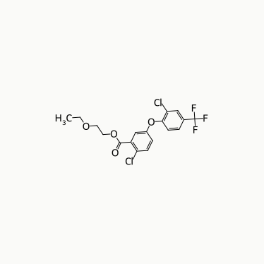 CCOCCOC(=O)c1cc(Oc2ccc(C(F)(F)F)cc2Cl)ccc1Cl